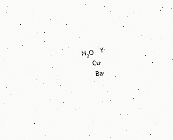 O.[Ba].[Cu].[Y]